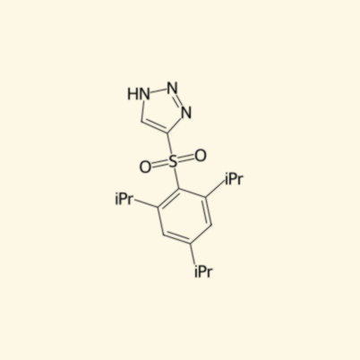 CC(C)c1cc(C(C)C)c(S(=O)(=O)c2c[nH]nn2)c(C(C)C)c1